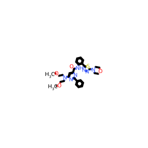 COCCN(CCOC)c1cc(C(=O)Nc2ccccc2-c2nnc(N3CCOCC3)s2)nc(-c2ccccc2)n1